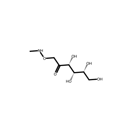 CNOCC(=O)[C@H](O)[C@@H](O)[C@H](O)CO